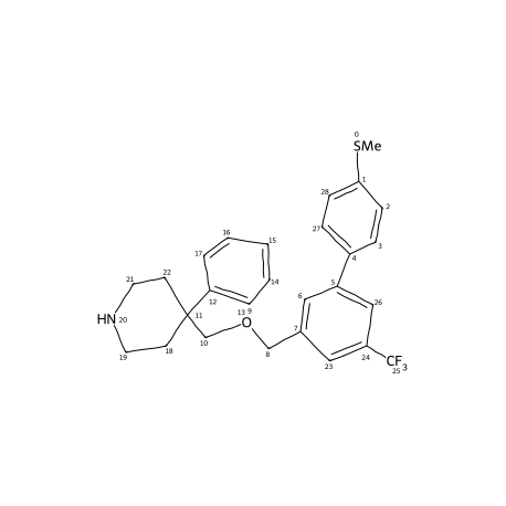 CSc1ccc(-c2cc(COCC3(c4ccccc4)CCNCC3)cc(C(F)(F)F)c2)cc1